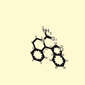 NC(=O)N1CCc2ccccc2C1c1coc2ccccc12